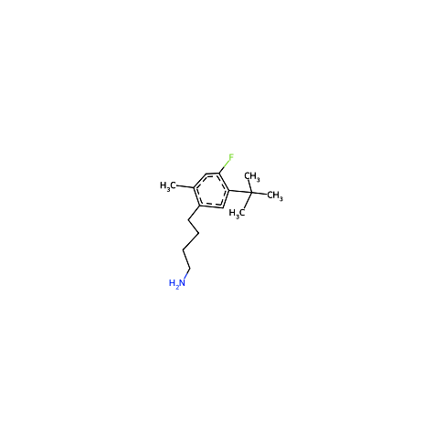 Cc1cc(F)c(C(C)(C)C)cc1CCCCN